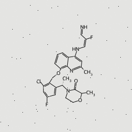 Cc1cc(N/C=C(/F)C=N)c2cccc(OCc3c(Cl)cc(F)cc3[C@H](C)N3CCOC(C)C3=O)c2n1